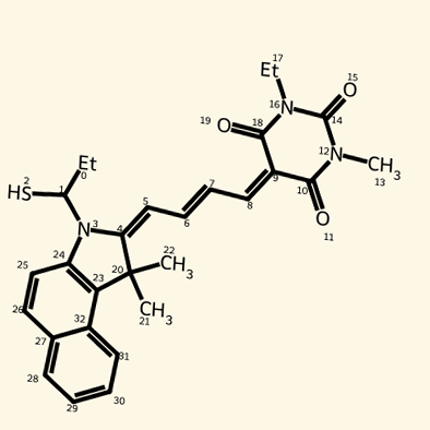 CCC(S)N1C(=CC=CC=C2C(=O)N(C)C(=O)N(CC)C2=O)C(C)(C)c2c1ccc1ccccc21